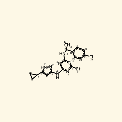 CCc1nc(Nc2cc(C3CC3)[nH]n2)nc(NC(C)c2ccc(Cl)cc2)n1